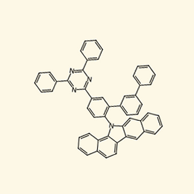 c1ccc(-c2cccc(-c3cc(-c4nc(-c5ccccc5)nc(-c5ccccc5)n4)ccc3-n3c4cc5ccccc5cc4c4ccc5ccccc5c43)c2)cc1